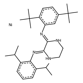 CC(C)c1cccc(C(C)C)c1N=C1NCCNC1=Nc1cc(C(C)(C)C)ccc1C(C)(C)C.[Ni]